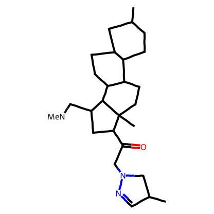 CNCC1CC(C(=O)CN2CC(C)C=N2)C2(C)CCC3C4CCC(C)CC4CCC3C12